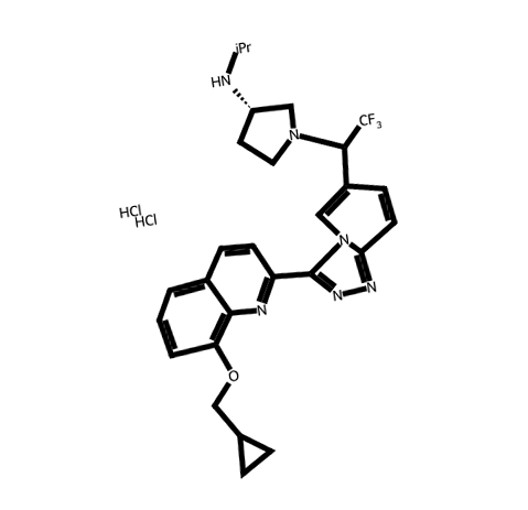 CC(C)N[C@H]1CCN(C(c2ccc3nnc(-c4ccc5cccc(OCC6CC6)c5n4)n3c2)C(F)(F)F)C1.Cl.Cl